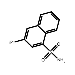 CC(C)c1cc(S(N)(=O)=O)c2ccccc2c1